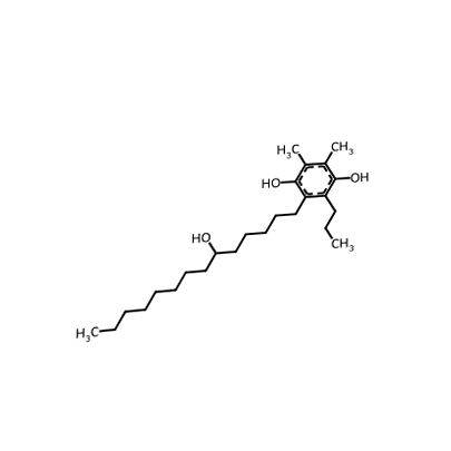 CCCCCCCCC(O)CCCCCc1c(O)c(C)c(C)c(O)c1CCC